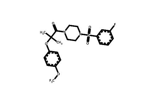 CC(C)(Oc1ccc(OC(F)(F)F)cc1)C(=O)N1CCN(S(=O)(=O)c2cccc(F)c2)CC1